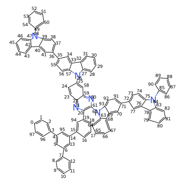 c1ccc(-c2cc(-c3ccccc3)cc(-c3cccc(-c4nc5ccc(-n6c7ccccc7c7cc(-c8ccc9c(c8)c8ccccc8n9-c8ccccc8)ccc76)cc5nc4-n4c5ccccc5c5cc(-c6ccc7c(c6)c6ccccc6n7-c6ccccc6)ccc54)c3)c2)cc1